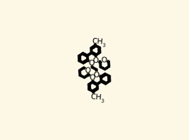 Cc1ccc(OC2CCCCO2)c(-c2ccccc2OCCOc2ccccc2-c2cc(C)ccc2OC2CCCCO2)c1